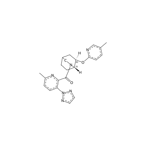 Cc1ccc(O[C@@H]2CC3CC[C@@H]2N(C(=O)c2nc(C)ccc2-n2nccn2)C3)nc1